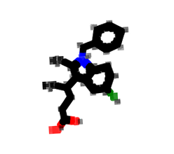 Cc1c(C(C)CCC(=O)O)c2cc(Cl)ccc2n1Cc1ccccc1